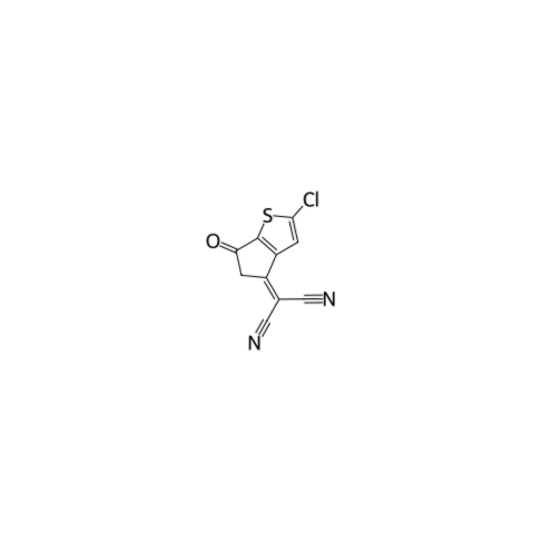 N#CC(C#N)=C1CC(=O)c2sc(Cl)cc21